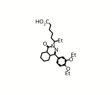 CCOc1ccc(C2=NN(C(CC)CCCCC(=O)O)C(=O)C3CCCCC23)cc1OCC